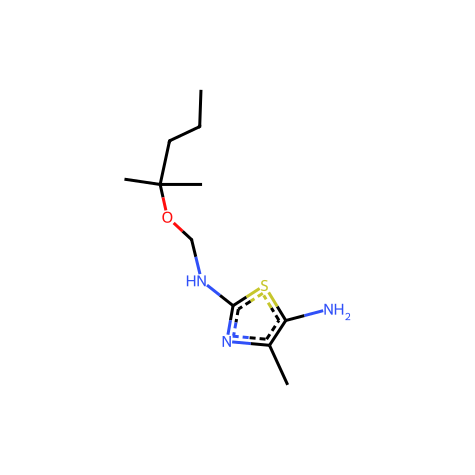 CCCC(C)(C)OCNc1nc(C)c(N)s1